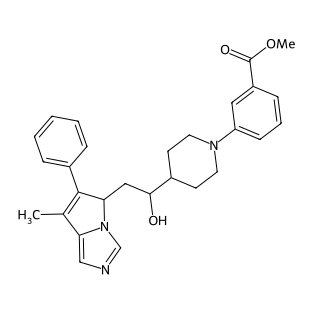 COC(=O)c1cccc(N2CCC(C(O)CC3C(c4ccccc4)=C(C)c4cncn43)CC2)c1